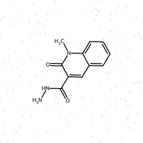 Cn1c(=O)c(C(=O)NN)cc2ccccc21